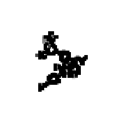 CC(C)CN(c1ccc(C(CCC(F)(F)F)CC(=O)O)cc1NC(=O)Nc1ccc(C#N)cc1)C1CCOCC1